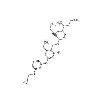 C/C=C(\C=C/C(C#CCC)OCc1c(F)cc(Oc2cccc(OCC3CC3)c2)cc1CC)C(C)CCC